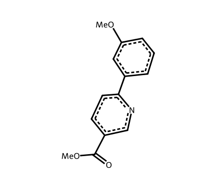 COC(=O)c1ccc(-c2cccc(OC)c2)nc1